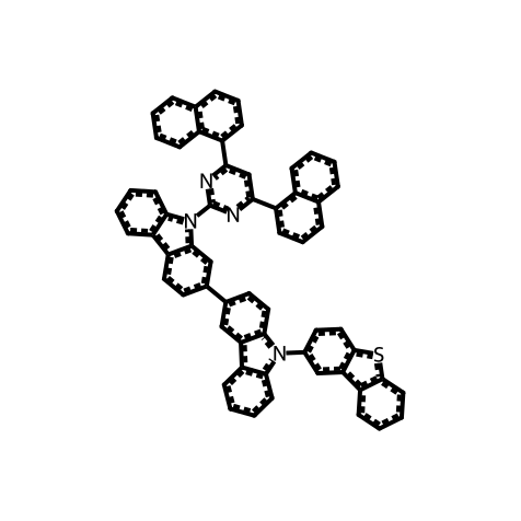 c1ccc2c(-c3cc(-c4cccc5ccccc45)nc(-n4c5ccccc5c5ccc(-c6ccc7c(c6)c6ccccc6n7-c6ccc7sc8ccccc8c7c6)cc54)n3)cccc2c1